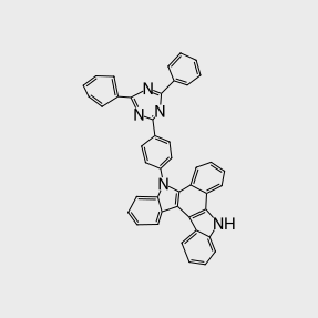 c1ccc(-c2nc(-c3ccccc3)nc(-c3ccc(-n4c5ccccc5c5c6c7ccccc7[nH]c6c6ccccc6c54)cc3)n2)cc1